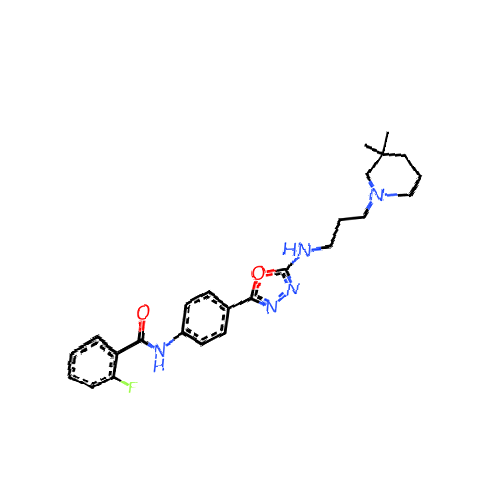 CC1(C)CCCN(CCCNc2nnc(-c3ccc(NC(=O)c4ccccc4F)cc3)o2)C1